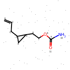 C=CCC1CC1CCOC(N)=O